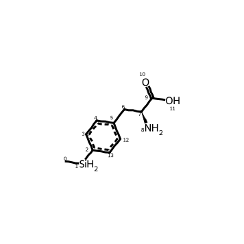 C[SiH2]c1ccc(C[C@H](N)C(=O)O)cc1